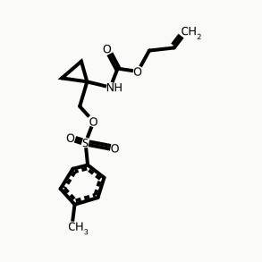 C=CCOC(=O)NC1(COS(=O)(=O)c2ccc(C)cc2)CC1